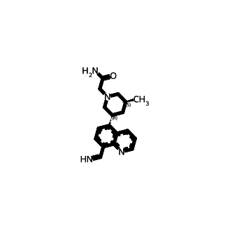 C[C@H]1C[C@H](c2ccc(C=N)c3ncccc23)CN(CC(N)=O)C1